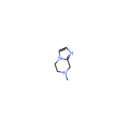 [CH2]N1CCn2ccnc2C1